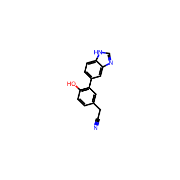 N#CCc1ccc(O)c(-c2ccc3[nH]cnc3c2)c1